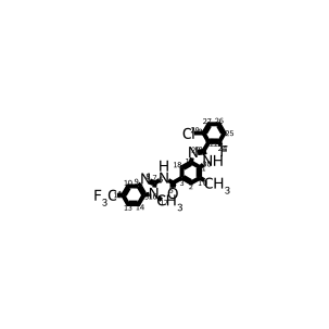 Cc1cc(C(=O)Nc2nc3cc(C(F)(F)F)ccc3n2C)cc2nc(-c3c(F)cccc3Cl)[nH]c12